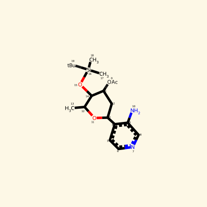 CC(=O)OC1CC(c2ccncc2N)OC(C)C1O[Si](C)(C)C(C)(C)C